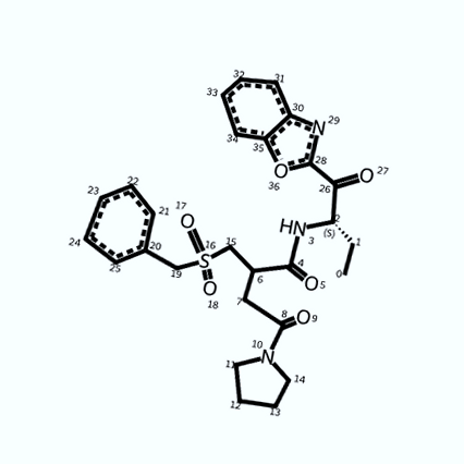 CC[C@H](NC(=O)C(CC(=O)N1CCCC1)CS(=O)(=O)Cc1ccccc1)C(=O)c1nc2ccccc2o1